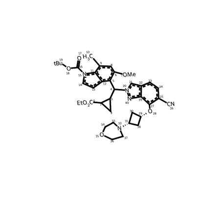 CCOC(=O)C1CC1C(c1c(OC)cc(C)c2c1ccn2C(=O)OC(C)(C)C)n1cc2ccc(C#N)c(O[C@H]3C[C@@H](N4CCOCC4)C3)c2n1